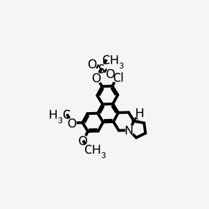 COc1cc2c3c(c4cc(Cl)c(OS(C)(=O)=O)cc4c2cc1OC)C[C@@H]1CCCN1C3